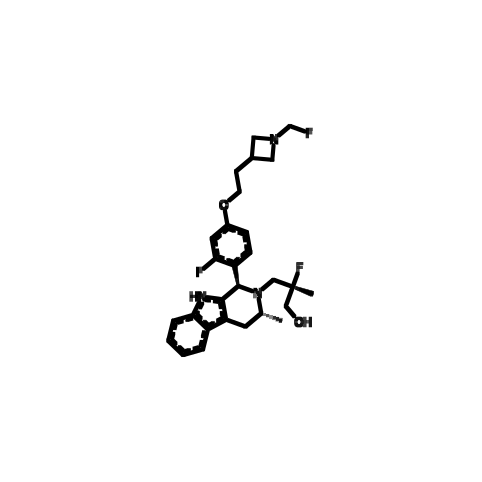 C[C@@H]1Cc2c([nH]c3ccccc23)[C@@H](c2ccc(OCCC3CN(CF)C3)cc2F)N1C[C@](C)(F)CO